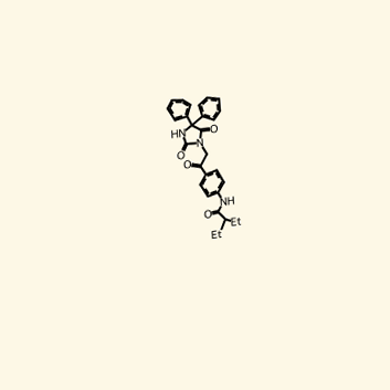 CCC(CC)C(=O)Nc1ccc(C(=O)CN2C(=O)NC(c3ccccc3)(c3ccccc3)C2=O)cc1